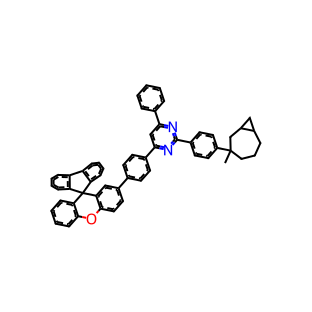 CC1(c2ccc(-c3nc(-c4ccccc4)cc(-c4ccc(-c5ccc6c(c5)C5(c7ccccc7O6)c6ccccc6-c6ccccc65)cc4)n3)cc2)CCCC2CC2C1